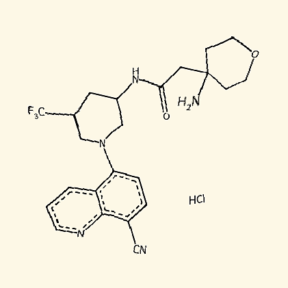 Cl.N#Cc1ccc(N2CC(NC(=O)CC3(N)CCOCC3)CC(C(F)(F)F)C2)c2cccnc12